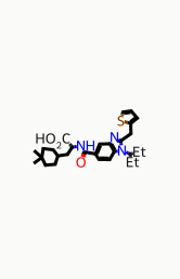 CCC(CC)n1c(Cc2cccs2)nc2cc(C(=O)NC(CC3CCC(C)(C)CC3)C(=O)O)ccc21